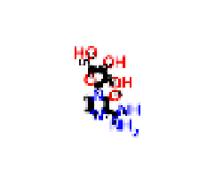 N=C(N)c1nccn([C@@H]2O[C@H](CO)[C@@H](O)[C@@H]2O)c1=O